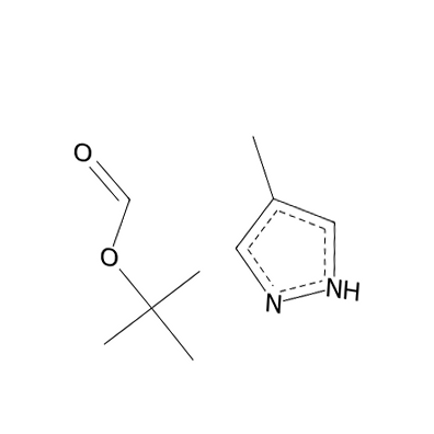 CC(C)(C)OC=O.Cc1cn[nH]c1